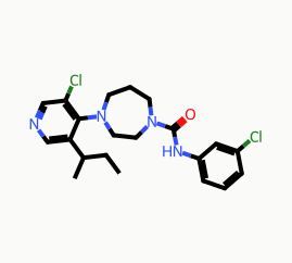 CCC(C)c1cncc(Cl)c1N1CCCN(C(=O)Nc2cccc(Cl)c2)CC1